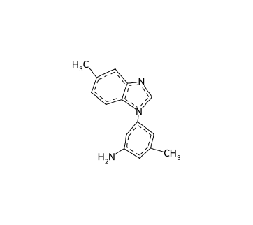 Cc1cc(N)cc(-n2cnc3cc(C)ccc32)c1